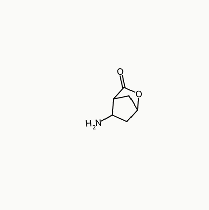 NC1CC2CC1C(=O)O2